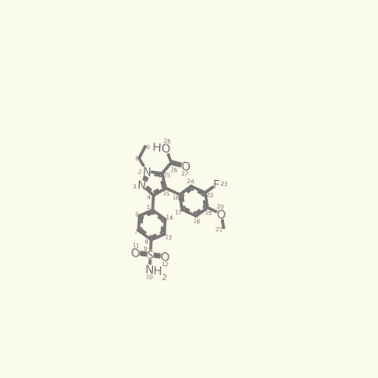 CCn1nc(-c2ccc(S(N)(=O)=O)cc2)c(-c2ccc(OC)c(F)c2)c1C(=O)O